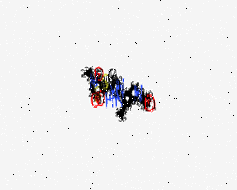 CC1(CN2CCc3cc(Nc4ncc(C(F)(F)F)c(-c5cc6c(s5)C(=O)N(C5CC5)CCS6(=O)=O)n4)c(C4CC4)cc3C2)COC1